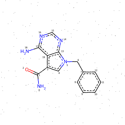 NC(=O)c1cn(Cc2ccccc2)c2ncnc(N)c12